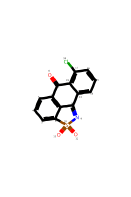 O=C1c2cccc3c2C(=NS3(=O)=O)c2cccc(Cl)c21